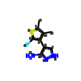 Cc1sc(F)c(-c2c[nH]nc2N)c1C